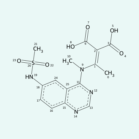 CC(=C(C(=O)O)C(=O)O)N(C)c1ncnc2ccc(NS(C)(=O)=O)cc12